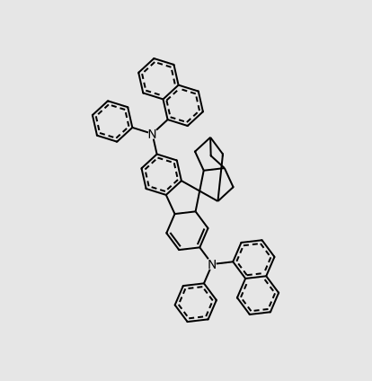 C1=CC2c3ccc(N(c4ccccc4)c4cccc5ccccc45)cc3C3(C4CC5CC(C4)C3C5)C2C=C1N(c1ccccc1)c1cccc2ccccc12